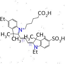 CCc1ccc2c(c1)C(C)(C)C(/C=C/C=C1/N(CC)c3ccc(S(=O)(=O)O)cc3C1(C)C)=[N+]2CCCCCC(=O)O